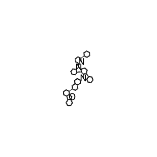 c1ccc(-c2cccc(-n3c4ccccc4c4c3ccc3c5ccccc5n(-c5ccc6cc(-c7cccc8c7oc7ccccc78)ccc6c5)c34)n2)cc1